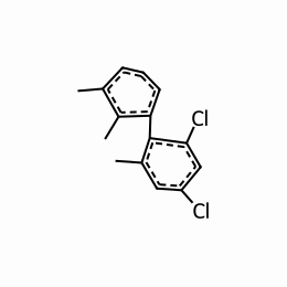 Cc1cccc(-c2c(C)cc(Cl)cc2Cl)c1C